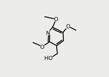 COc1cc(CO)c(OC)nc1OC